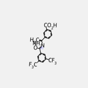 C=C(/N=C(\ON)c1cc(C(F)(F)F)cc(C(F)(F)F)c1)c1cccc(C(=O)O)c1